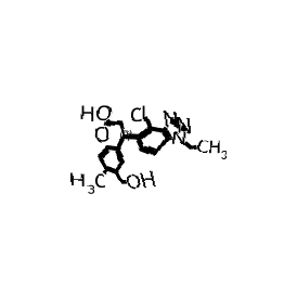 CCn1nnc2c(Cl)c([C@H](CC(=O)O)c3ccc(C)c(CO)c3)ccc21